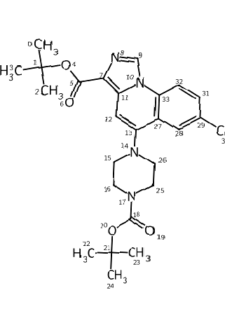 CC(C)(C)OC(=O)c1ncn2c1cc(N1CCN(C(=O)OC(C)(C)C)CC1)c1cc(Cl)ccc12